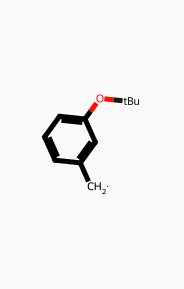 [CH2]c1cccc(OC(C)(C)C)c1